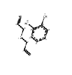 C=CCSCC=C.N#Cc1ccccc1C#N